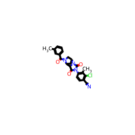 Cc1cccc(C(=O)N2CC3CC2C2C(=O)N(c4ccc(C#N)c(Cl)c4C)C(=O)N32)c1